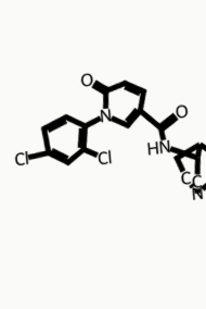 O=C(NC1CN2CCC1CC2)c1ccc(=O)n(-c2ccc(Cl)cc2Cl)c1